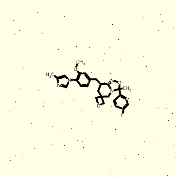 COc1cc(CC2CC3(COC3)CN3C2=NOC3(C)c2ccc(F)cc2)ccc1-n1cnc(C)c1